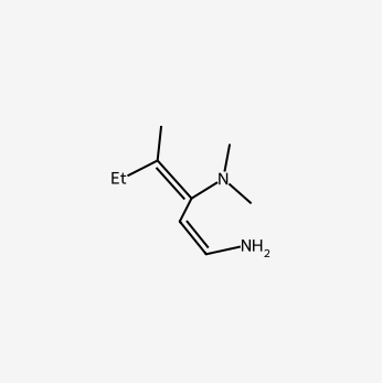 CC/C(C)=C(\C=C/N)N(C)C